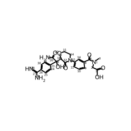 CN(CC(=O)O)C(=O)c1cccc(N2CCO[C@H](C(O)(C(N)=O)c3ccc(C(=N)N)cc3)C2=O)c1